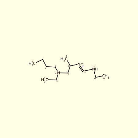 CCCCN(CC)CC(C)/N=C/NCC